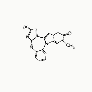 CC1C=C2C(C=C3C4=CC(Br)=NC4=Nc4ccccc4N32)CC1=O